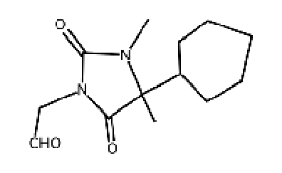 CN1C(=O)N(CC=O)C(=O)C1(C)C1CCCCC1